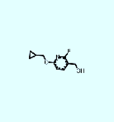 OCc1ccc(OCC2CC2)nc1F